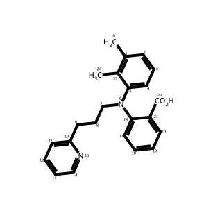 Cc1cccc(N(CCCc2ccccn2)c2ccccc2C(=O)O)c1C